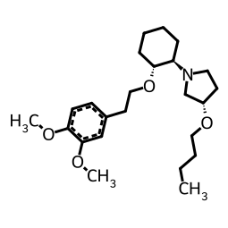 CCCCO[C@H]1CCN([C@@H]2CCCC[C@H]2OCCc2ccc(OC)c(OC)c2)C1